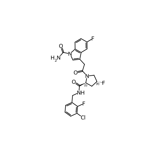 NC(=O)n1cc(CC(=O)N2C[C@H](F)C[C@H]2C(=O)NCc2cccc(Cl)c2F)c2cc(F)ccc21